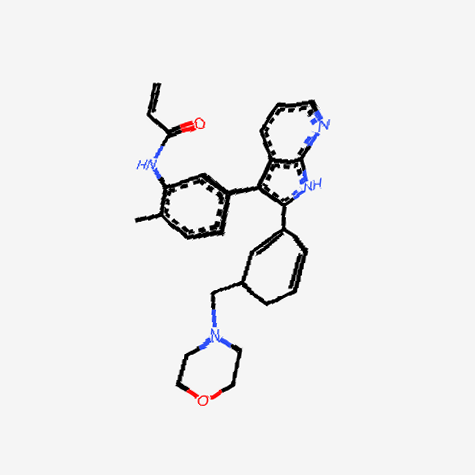 C=CC(=O)Nc1cc(-c2c(C3=CC(CN4CCOCC4)CC=C3)[nH]c3ncccc23)ccc1C